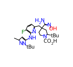 Cc1cc(Nc2nc(CC3(C(N)=NO)CCN(C(=O)O)C(C(C)(C)C)C3)ccc2F)n(C(C)(C)C)n1